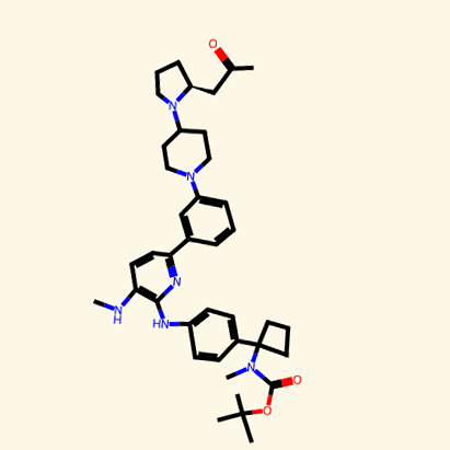 CNc1ccc(-c2cccc(N3CCC(N4CCC[C@H]4CC(C)=O)CC3)c2)nc1Nc1ccc(C2(N(C)C(=O)OC(C)(C)C)CCC2)cc1